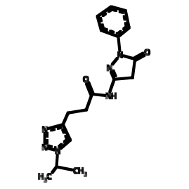 CC(C)n1cc(CCC(=O)NC2=NN(c3ccccc3)C(=O)C2)nn1